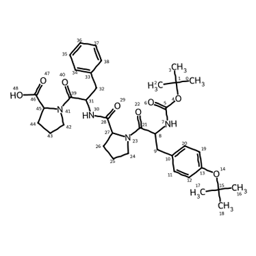 CC(C)(C)OC(=O)NC(Cc1ccc(OC(C)(C)C)cc1)C(=O)N1CCCC1C(=O)NC(Cc1ccccc1)C(=O)N1CCCC1C(=O)O